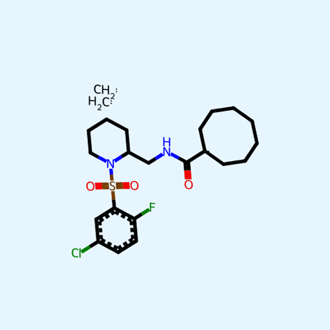 O=C(NCC1CCCCN1S(=O)(=O)c1cc(Cl)ccc1F)[C]1CCCCCCC1.[CH2].[CH2]